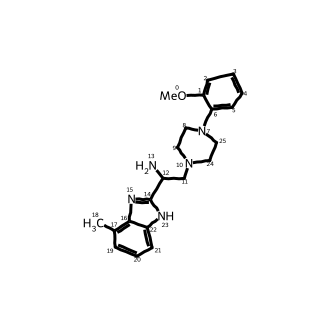 COc1ccccc1N1CCN(CC(N)c2nc3c(C)cccc3[nH]2)CC1